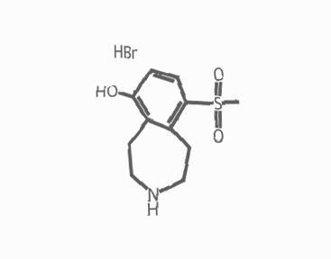 Br.CS(=O)(=O)c1ccc(O)c2c1CCNCC2